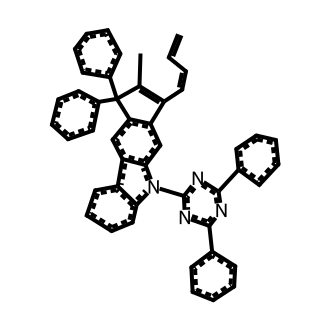 C=C/C=C\C1=C(C)C(c2ccccc2)(c2ccccc2)c2cc3c4ccccc4n(-c4nc(-c5ccccc5)nc(-c5ccccc5)n4)c3cc21